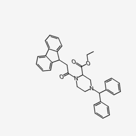 CCOC(=O)C1CN(C(c2ccccc2)c2ccccc2)CCN1C(=O)CC1c2ccccc2-c2ccccc21